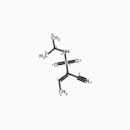 C/C=C(\C#N)S(=O)(=O)NC(C)C